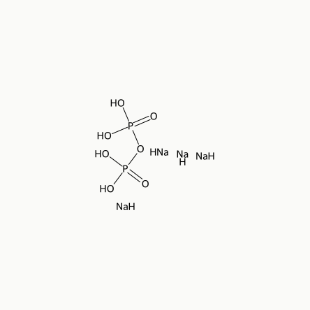 O=P(O)(O)OP(=O)(O)O.[NaH].[NaH].[NaH].[NaH]